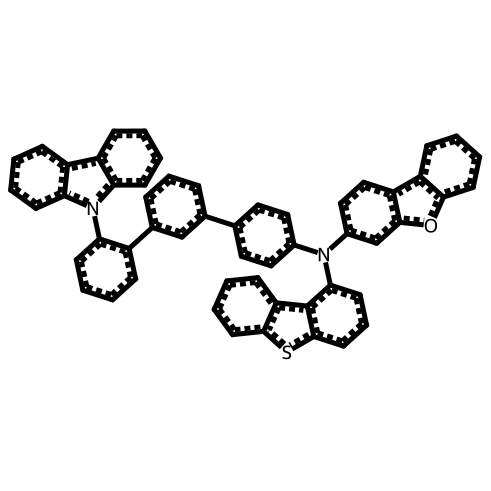 c1cc(-c2ccc(N(c3ccc4c(c3)oc3ccccc34)c3cccc4sc5ccccc5c34)cc2)cc(-c2ccccc2-n2c3ccccc3c3ccccc32)c1